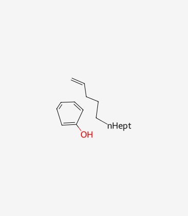 C=CCCCCCCCCCC.Oc1ccccc1